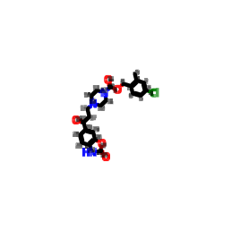 Cc1cc(Cl)ccc1COC(=O)N1CCN(CCC(=O)c2ccc3[nH]c(=O)oc3c2)CC1